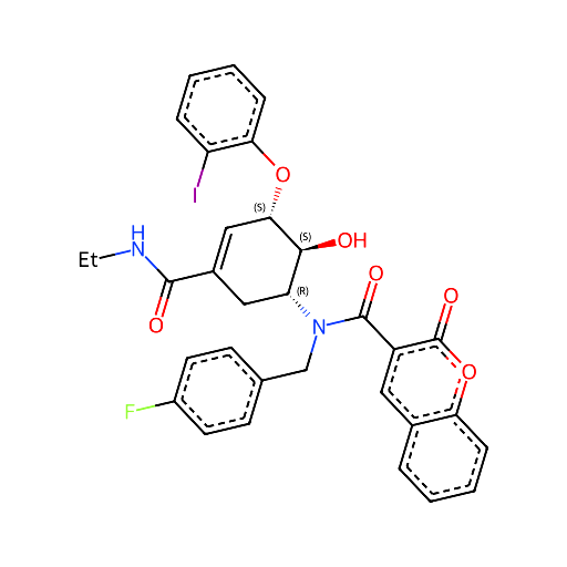 CCNC(=O)C1=C[C@H](Oc2ccccc2I)[C@@H](O)[C@H](N(Cc2ccc(F)cc2)C(=O)c2cc3ccccc3oc2=O)C1